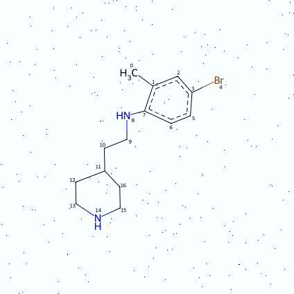 Cc1cc(Br)ccc1NCCC1CCNCC1